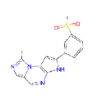 Cc1ncc2cnc3[nH]c(-c4cccc(S(C)(=O)=O)c4)cc3n12